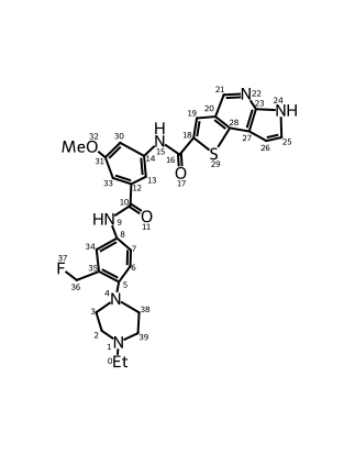 CCN1CCN(c2ccc(NC(=O)c3cc(NC(=O)c4cc5cnc6[nH]ccc6c5s4)cc(OC)c3)cc2CF)CC1